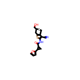 N#Cc1c(NC(=O)C2CC2c2ccco2)sc2c1CCC(CO)C2